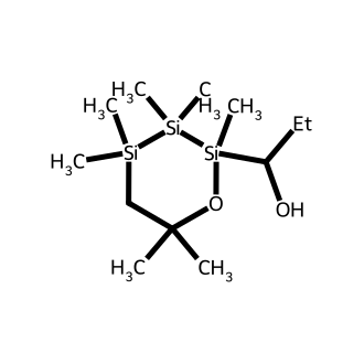 CCC(O)[Si]1(C)OC(C)(C)C[Si](C)(C)[Si]1(C)C